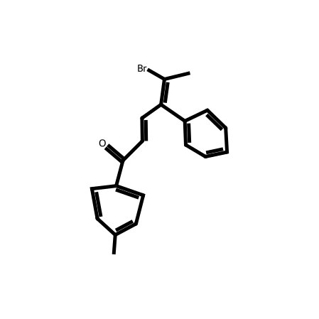 C/C(Br)=C(/C=C/C(=O)c1ccc(C)cc1)c1ccccc1